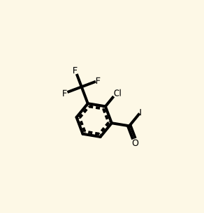 O=C(I)c1cccc(C(F)(F)F)c1Cl